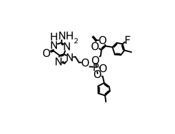 C=C1OC(COP(=O)(COCCn2cnc3c(=O)[nH]c(N)nc32)OCc2ccc(C)cc2)=C(c2ccc(C)c(F)c2)O1